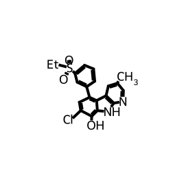 CCS(=O)(=O)c1cccc(-c2cc(Cl)c(O)c3[nH]c4ncc(C)cc4c23)c1